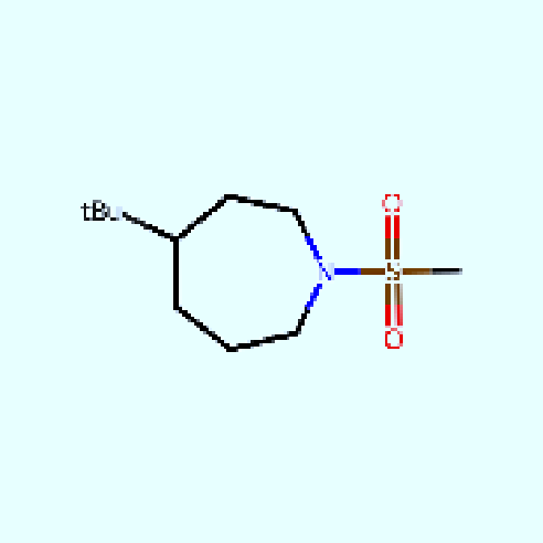 CC(C)(C)C1CCCN(S(C)(=O)=O)CC1